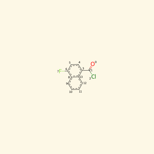 O=C(Cl)c1ccc(F)c2ccccc12